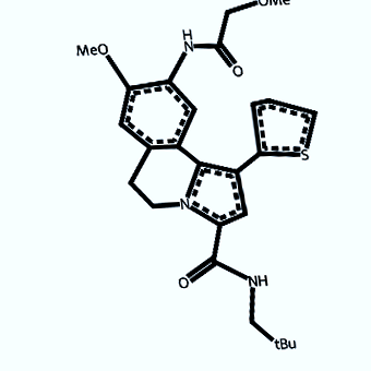 COCC(=O)Nc1cc2c(cc1OC)CCn1c(C(=O)NCC(C)(C)C)cc(-c3cccs3)c1-2